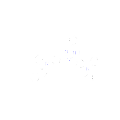 c1ccc(C2N=C(c3ccc(-n4c5ccccc5c5c6ccccc6ccc54)cc3)N=C(c3ccc4c(c3)c3ccccc3n4-c3ccccc3)N2)cc1